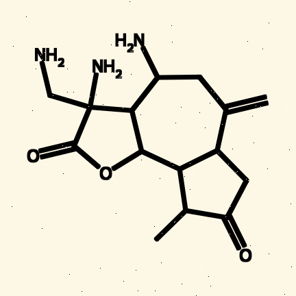 C=C1CC(N)C2C(OC(=O)C2(N)CN)C2C(C)C(=O)CC12